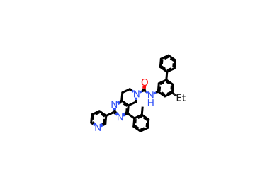 CCc1cc(NC(=O)N2CCc3nc(-c4cccnc4)nc(-c4ccccc4C)c3C2)cc(-c2ccccc2)c1